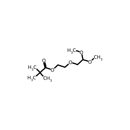 COC(COCCOC(=O)C(C)(C)C)OC